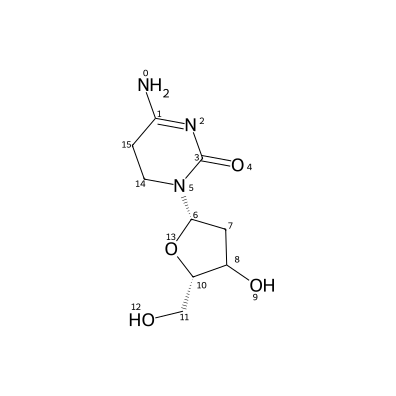 NC1=NC(=O)N([C@@H]2CC(O)[C@H](CO)O2)CC1